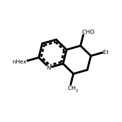 CCCCCCc1ccc2c(n1)C(C)CC(CC)C2C=O